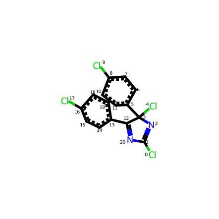 ClC1=NC(Cl)(c2ccc(Cl)cc2)C(c2ccc(Cl)cc2)=N1